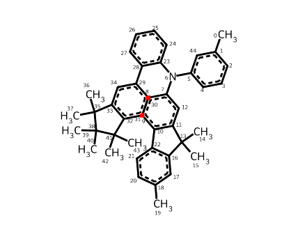 Cc1cccc(N(c2ccc3c(c2)C(C)(C)c2cc(C)ccc2-3)c2ccccc2-c2ccc3c(c2)C(C)(C)C(C)(C)C3(C)C)c1